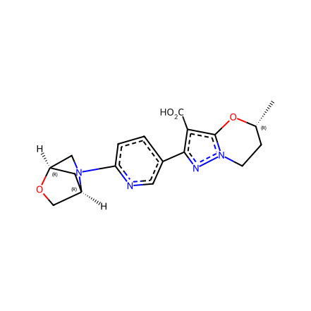 C[C@@H]1CCn2nc(-c3ccc(N4C[C@H]5C[C@@H]4CO5)nc3)c(C(=O)O)c2O1